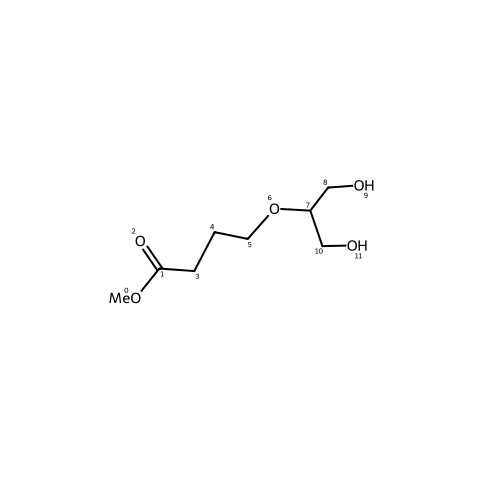 COC(=O)CCCOC(CO)CO